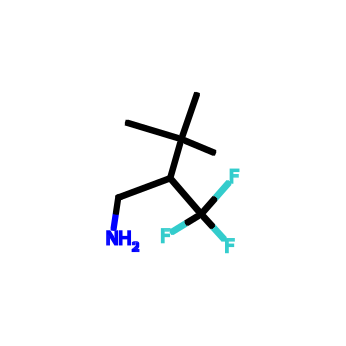 CC(C)(C)C(CN)C(F)(F)F